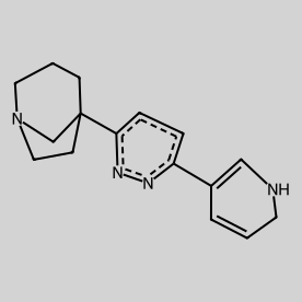 C1=CC(c2ccc(C34CCCN(CC3)C4)nn2)=CNC1